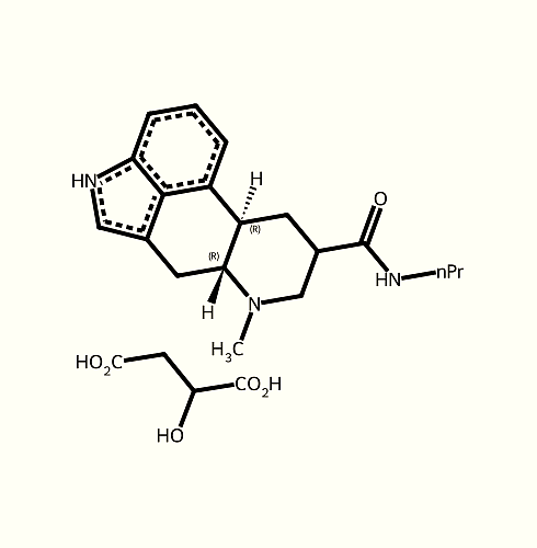 CCCNC(=O)C1C[C@@H]2c3cccc4[nH]cc(c34)C[C@H]2N(C)C1.O=C(O)CC(O)C(=O)O